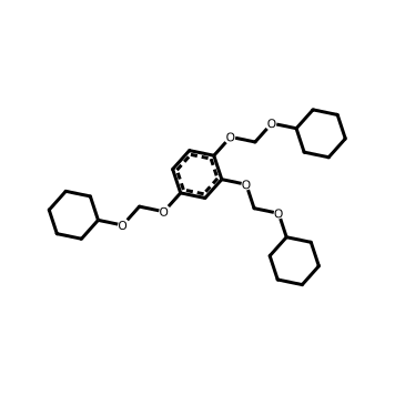 c1cc(OCOC2CCCCC2)c(OCOC2CCCCC2)cc1OCOC1CCCCC1